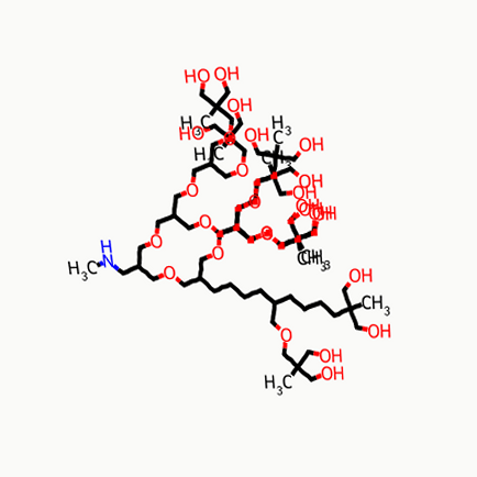 CNCC(COCC(CCCCC(CCCCC(C)(CO)CO)COCC(C)(CO)CO)COCC(CCCCC(C)(CO)CO)COCC(C)(CO)CO)COCC(COCC(COCC(C)(CO)CO)COCC(C)(CO)CO)COCC(COCC(C)(CO)CO)COCC(C)(CO)CO